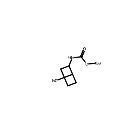 CC(C)(C)OC(=O)NC1CC2(C#N)CCC12